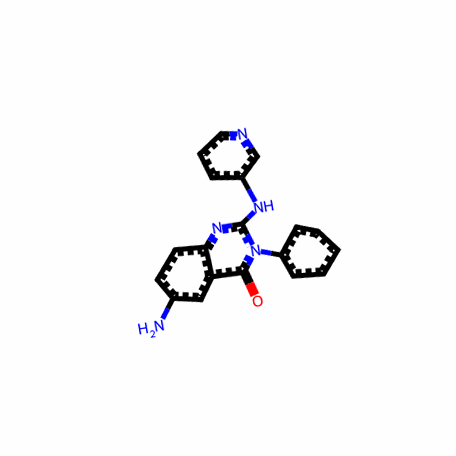 Nc1ccc2nc(Nc3cccnc3)n(-c3ccccc3)c(=O)c2c1